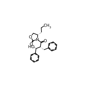 CCC[C@H]1COC(=O)N1C(=O)[C@H](Cc1ccccc1)[C@@H](O)c1ccccc1